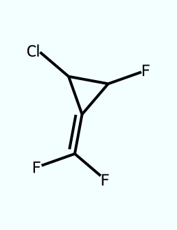 FC(F)=C1C(F)C1Cl